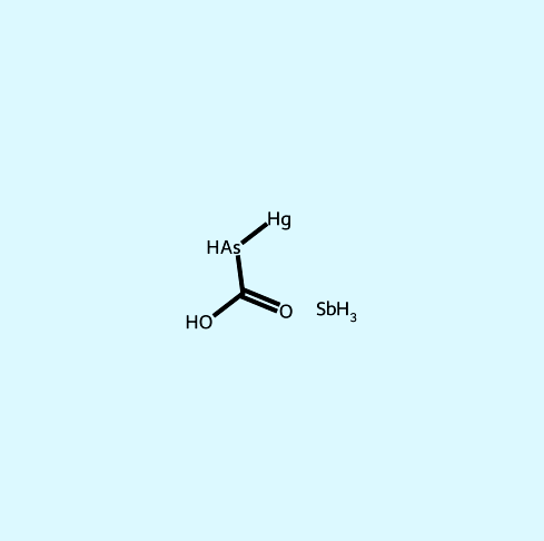 O=C(O)[AsH][Hg].[SbH3]